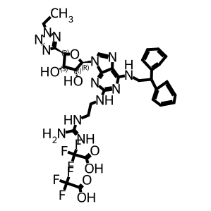 CCn1nnc([C@H]2O[C@@H](n3cnc4c(NCC(c5ccccc5)c5ccccc5)nc(NCCNC(=N)N)nc43)[C@H](O)[C@@H]2O)n1.O=C(O)C(F)(F)F.O=C(O)C(F)(F)F